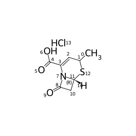 CC1C=C(C(=O)O)N2C(=O)C[C@H]2S1.Cl